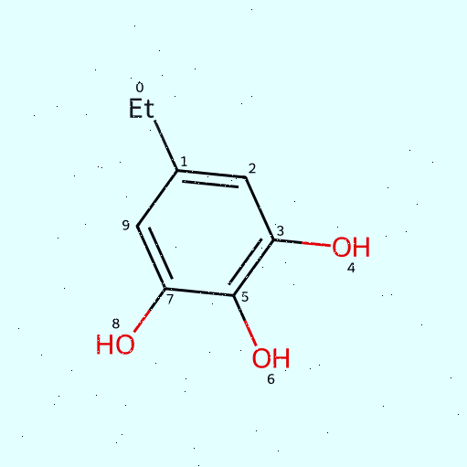 [CH2]Cc1cc(O)c(O)c(O)c1